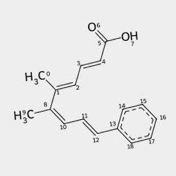 CC(=CC=CC(=O)O)C(C)=CC=Cc1ccccc1